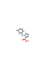 O=C(O)c1cccn1Cc1ccnc(F)c1